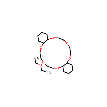 C1CCC2OCCOCCOC3CCCCC3OCCOCCOC2C1.CCOCC